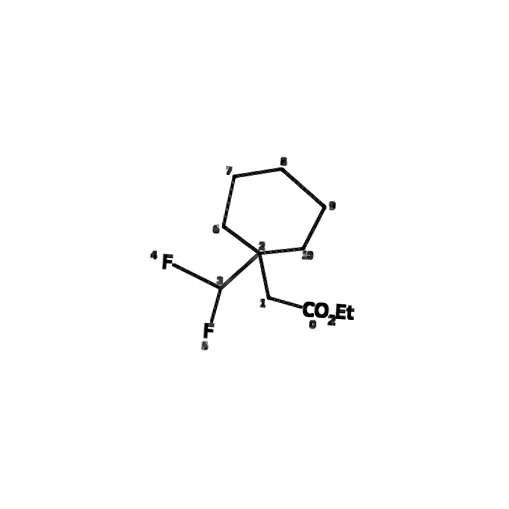 CCOC(=O)CC1(C(F)F)CCCCC1